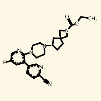 CCOC(=O)N1CC2(CC[C@@H](N3CCN(c4ncc(F)cc4-c4ccc(C#N)nc4)CC3)C2)C1